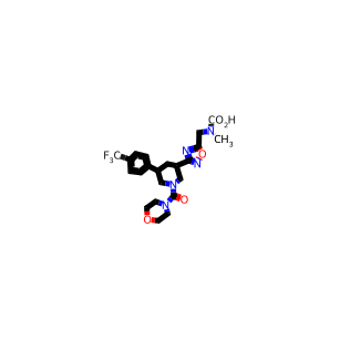 CN(Cc1nc(C2CC(c3ccc(C(F)(F)F)cc3)CN(C(=O)N3CCOCC3)C2)no1)C(=O)O